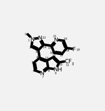 Cn1cc(-c2ccnc3[nH]c(C(F)(F)F)cc23)c(-c2ccc(F)cn2)n1